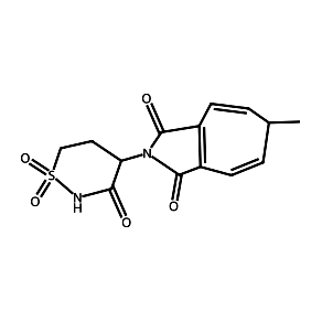 CC1C=CC2=C(C=C1)C(=O)N(C1CCS(=O)(=O)NC1=O)C2=O